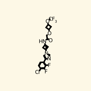 O=C(COC1CC(OC(F)(F)F)C1)NC12CC(n3cnc(-c4ccc(Cl)c(F)c4F)c3)(C1)C2